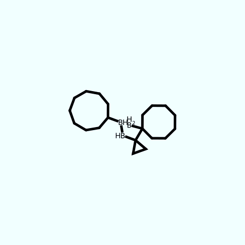 BC1(C2(BBC3CCCCCCCC3)CC2)CCCCCCC1